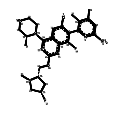 Cc1cc(N)nc(-c2c(Cl)cc3c(N4CCNC[C@@H]4C)nc(OC[C@@H]4C[C@@H](F)CN4C)nc3c2F)c1C